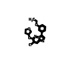 CCOc1cccc(-c2cnc3cc(Cl)c(OC4CCOC4)nn23)c1